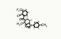 Cc1ccc(-n2nnc3c2CCN(C(=O)c2cccc(C(F)(F)F)c2Cl)[C@@H]3C)nc1